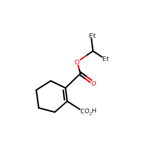 CCC(CC)OC(=O)C1=C(C(=O)O)CCCC1